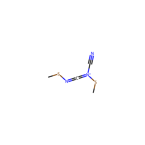 CSN=C=[N+](C#N)SC